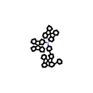 c1ccc(-c2cccc3c2-c2ccc(-c4ccc(N(c5ccc6c(c5)C5(c7ccccc7-c7ccccc75)c5ccccc5-6)c5ccc6c(c5)C5(c7ccccc7-c7ccccc75)c5ccccc5-6)cc4)cc2C32c3ccccc3-c3ccccc32)cc1